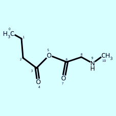 CCCC(=O)OC(=O)CNC